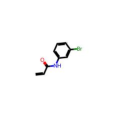 C=CC(=O)Nc1cc[c]c(Br)c1